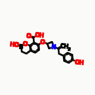 C=C(Cc1ccc(O)cc1)N1CC(Oc2ccc3c(c2C(=O)O)OB(O)CC3)C1